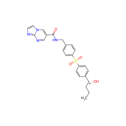 CCC[C@@H](O)c1ccc(S(=O)(=O)c2ccc(CNC(=O)c3cnc4nccn4c3)cc2)cc1